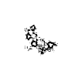 COC[C@@H]1CCCN1C(=O)c1cccc(-n2ncc3c(NCC(O)(CC(C)(C)c4cc(F)ccc4OC)C(F)(F)F)cc(C)cc32)c1